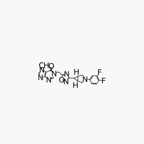 Cn1cnc2ncn(Cc3nc(C4[C@H]5CN(c6ccc(F)c(F)c6)C[C@@H]45)no3)c(=O)c21